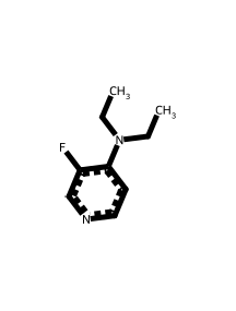 CCN(CC)c1ccn[c]c1F